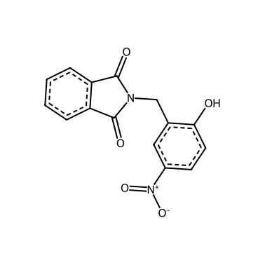 O=C1c2ccccc2C(=O)N1Cc1cc([N+](=O)[O-])ccc1O